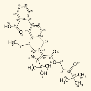 CCCc1nc(C(C)(C)O)c(C(=O)OCCC(=O)C(C)(C)C)n1Cc1ccc(-c2ccccc2C(=O)O)cc1